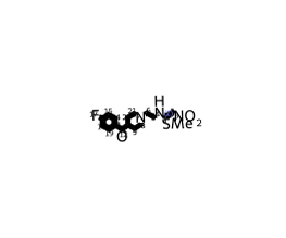 CS/C(=C\[N+](=O)[O-])NCCN1CCC(C(=O)c2ccc(F)cc2)CC1